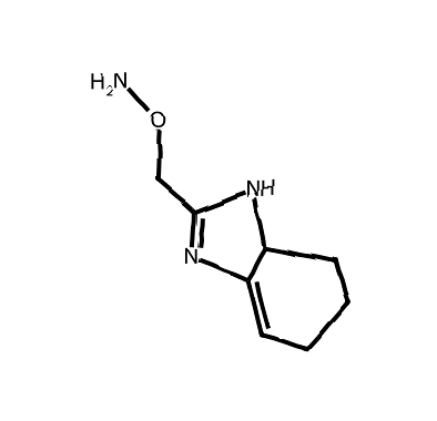 NOCC1=NC2=CCCCC2N1